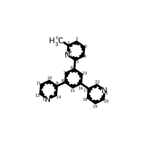 Cc1cccc(-c2cc(-c3cccnc3)cc(-c3cccnc3)c2)n1